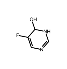 OC1NC=NC=C1F